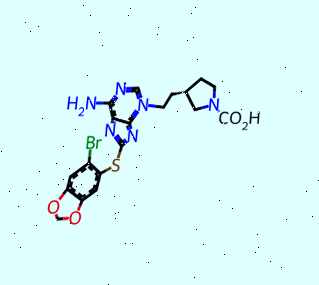 Nc1ncn(CC[C@H]2CCN(C(=O)O)C2)c2nc(Sc3cc4c(cc3Br)OCO4)nc1-2